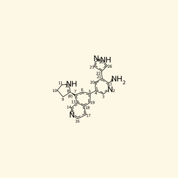 Nc1ncc(-c2cc([C@H]3CCCN3)c3cnccc3c2)cc1-c1cn[nH]c1